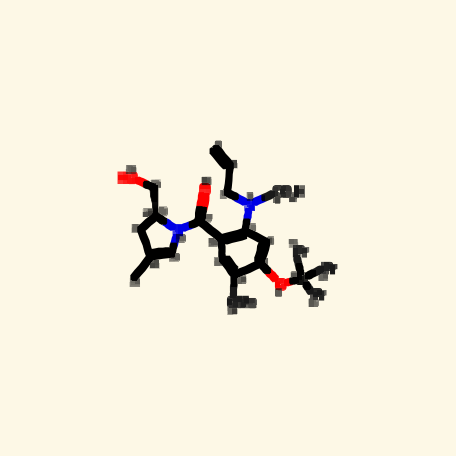 C=CCN(C(=O)O)c1cc(O[Si](C(C)C)(C(C)C)C(C)C)c(OC)cc1C(=O)N1C=C(C)C[C@H]1CO